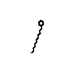 [CH2]CCCCCC=CC=[C]CCc1ccccc1